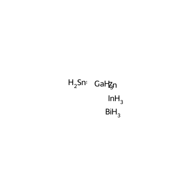 [BiH3].[GaH3].[InH3].[SnH2].[Zn]